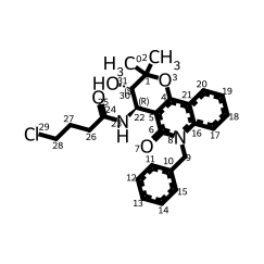 CC1(C)Oc2c(c(=O)n(Cc3ccccc3)c3ccccc23)[C@@H](NC(=O)CCCCl)[C@@H]1O